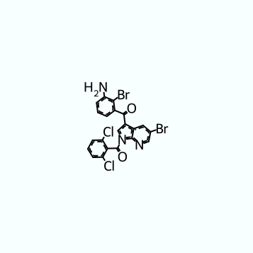 Nc1cccc(C(=O)c2cn(C(=O)c3c(Cl)cccc3Cl)c3ncc(Br)cc23)c1Br